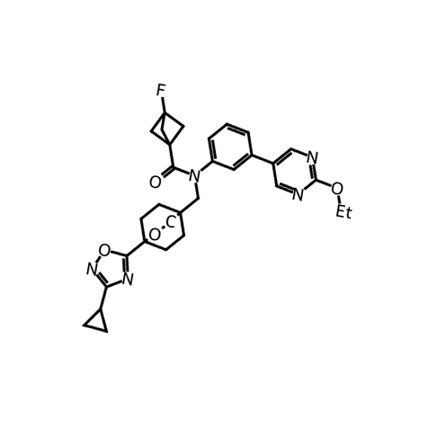 CCOc1ncc(-c2cccc(N(CC34CCC(c5nc(C6CC6)no5)(CC3)OC4)C(=O)C34CC(F)(C3)C4)c2)cn1